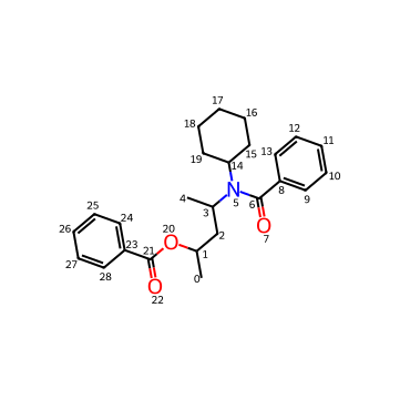 CC(CC(C)N(C(=O)c1ccccc1)C1CCCCC1)OC(=O)c1ccccc1